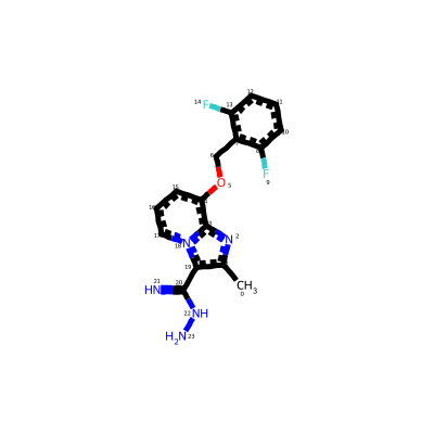 Cc1nc2c(OCc3c(F)cccc3F)cccn2c1C(=N)NN